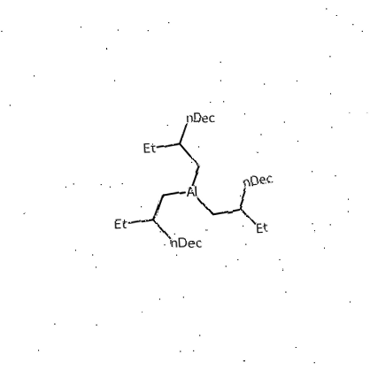 CCCCCCCCCCC(CC)[CH2][Al]([CH2]C(CC)CCCCCCCCCC)[CH2]C(CC)CCCCCCCCCC